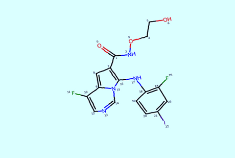 O=C(NOCCO)c1cc2c(F)cncn2c1Nc1ccc(I)cc1F